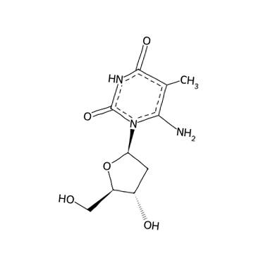 Cc1c(N)n([C@H]2C[C@H](O)[C@@H](CO)O2)c(=O)[nH]c1=O